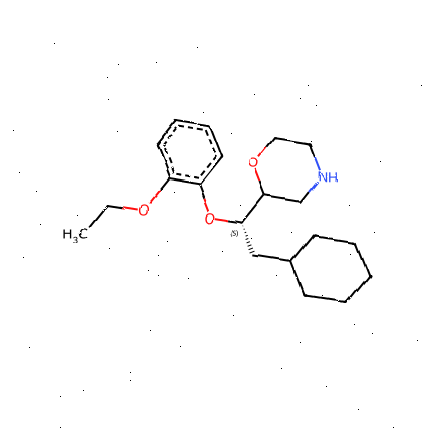 CCOc1ccccc1O[C@@H](CC1CCCCC1)C1CNCCO1